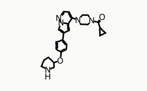 O=C(C1CC1)N1CCN(c2ccnn3cc(-c4ccc(OC5CCCNC5)cc4)cc23)CC1